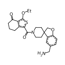 CCOc1sc(C(=O)N2CCC3(CC2)COc2ccc(CN)cc23)c2c1C(=O)CCC2